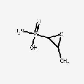 CC1OC1P(N)(=O)O